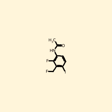 CC(=O)Nc1ccc(I)c(CF)c1F